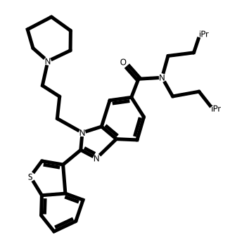 CC(C)CCN(CCC(C)C)C(=O)c1ccc2nc(-c3csc4ccccc34)n(CCCN3CCCCC3)c2c1